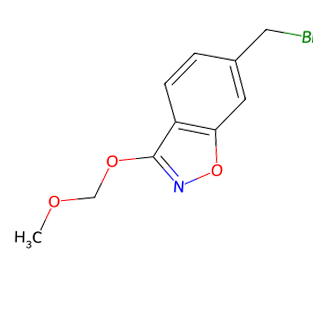 COCOc1noc2cc(CBr)ccc12